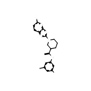 C=C(Nc1cc(Cl)cc(Cl)c1)C1CCCN(c2nc3nc(Cl)ccc3[nH]2)C1